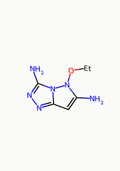 CCOn1c(N)cc2nnc(N)n21